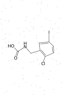 O=C(O)NCc1cc(I)ccc1Cl